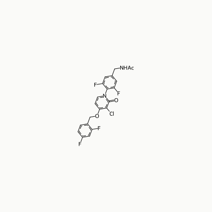 CC(=O)NCc1cc(F)c(-n2ccc(OCc3ccc(F)cc3F)c(Cl)c2=O)c(F)c1